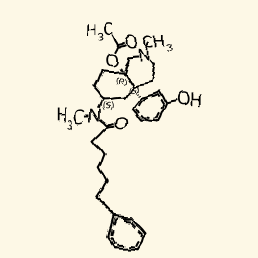 CC(=O)O[C@]12CC[C@H](N(C)C(=O)CCCCCc3ccccc3)C[C@]1(c1cccc(O)c1)CCN(C)C2